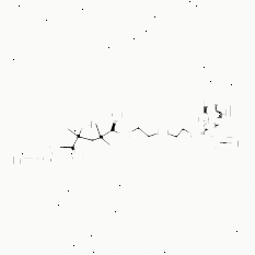 CCCCCCOC(=O)C(C)(Br)CC(C)(C)C(=O)OCCOCCO[Si](O[SiH3])(OCC)OCC